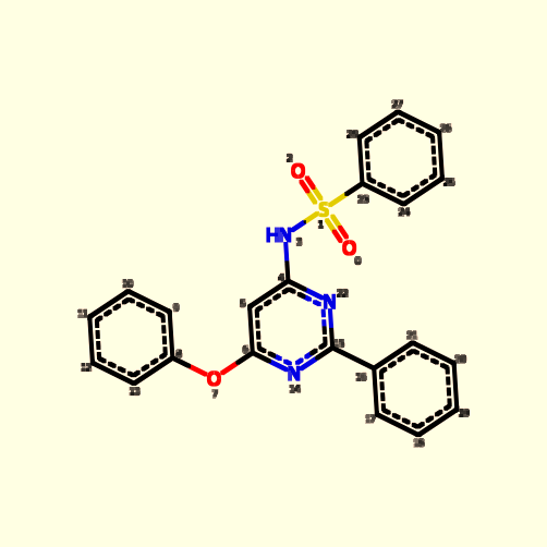 O=S(=O)(Nc1cc(Oc2ccccc2)nc(-c2ccccc2)n1)c1ccccc1